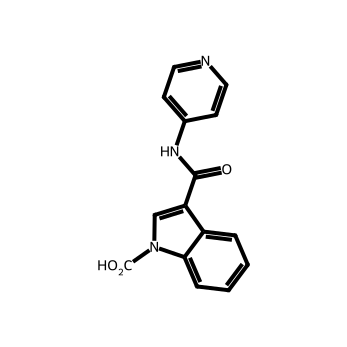 O=C(Nc1ccncc1)c1cn(C(=O)O)c2ccccc12